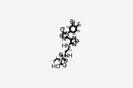 CCN(C(=O)O)S(=O)(=O)NCCNc1nonc1-c1noc(=O)n1-c1ccc(F)c(Br)c1